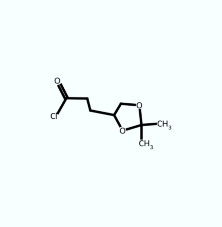 CC1(C)OCC(CCC(=O)Cl)O1